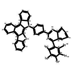 [2H]c1c([2H])c([2H])c(-c2nc(-c3ccc(-n4c5ccccc5c5c6ccccc6c6c7ccccc7sc6c54)cc3)nc3ccccc23)c([2H])c1[2H]